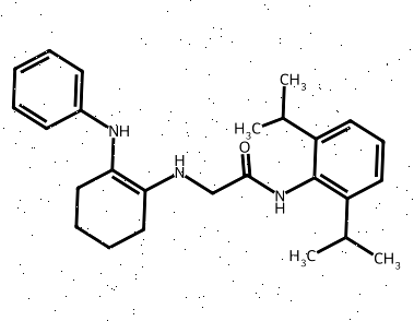 CC(C)c1cccc(C(C)C)c1NC(=O)CNC1=C(Nc2ccccc2)CCCC1